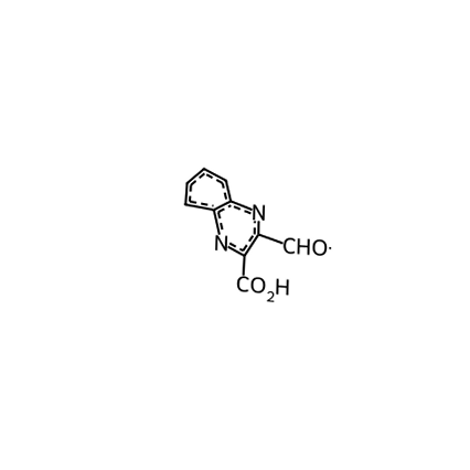 O=[C]c1nc2ccccc2nc1C(=O)O